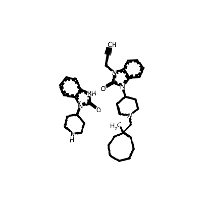 C#CCn1c(=O)n(C2CCN(CC3(C)CCCCCCC3)CC2)c2ccccc21.O=c1[nH]c2ccccc2n1C1CCNCC1